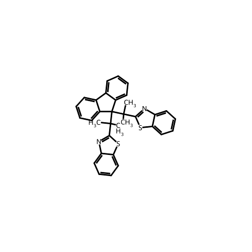 CC(C)(c1nc2ccccc2s1)C1(C(C)(C)c2nc3ccccc3s2)c2ccccc2-c2ccccc21